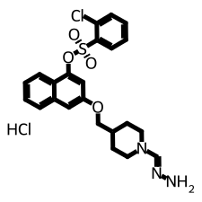 Cl.NN=CN1CCC(COc2cc(OS(=O)(=O)c3ccccc3Cl)c3ccccc3c2)CC1